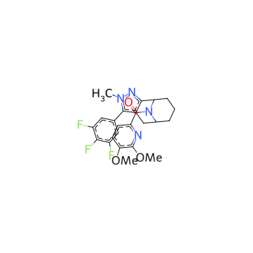 COc1ccc(C(=O)N2C3CCCC2c2nn(C)c(-c4cc(F)c(F)c(F)c4)c2C3)nc1OC